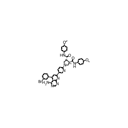 COc1ccc(NC(=O)[C@H]2CN(c3ccc(-c4cc(-c5cccc(Br)c5)c5c(N)ncnc5n4)cn3)C[C@@H]2C(=O)Nc2ccc(OC)cc2)cc1